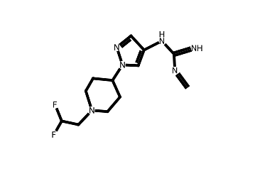 C=NC(=N)Nc1cnn(C2CCN(CC(F)F)CC2)c1